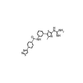 Cc1nc(NC(=N)N)sc1-c1cccc(NC(=O)c2ccc(-c3csnn3)cc2)c1